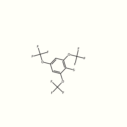 FC(F)(F)Oc1cc(OC(F)(F)F)c([S])c(OC(F)(F)F)c1